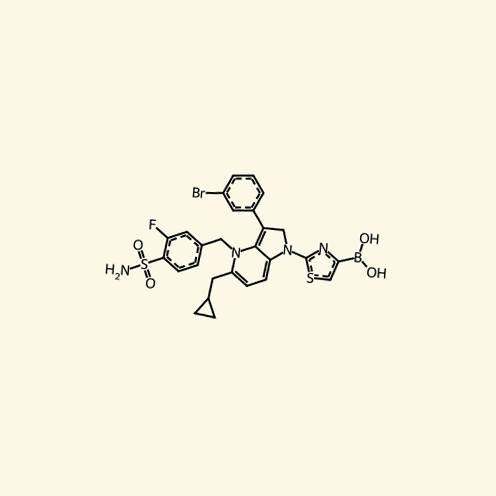 NS(=O)(=O)c1ccc(CN2C(CC3CC3)=CC=C3C2=C(c2cccc(Br)c2)CN3c2nc(B(O)O)cs2)cc1F